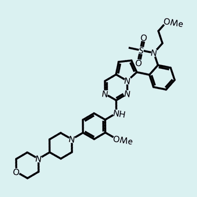 COCCN(c1ccccc1-c1ccc2cnc(Nc3ccc(N4CCC(N5CCOCC5)CC4)cc3OC)nn12)S(C)(=O)=O